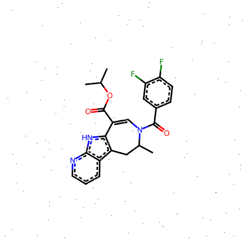 CC(C)OC(=O)C1=CN(C(=O)c2ccc(F)c(F)c2)C(C)Cc2c1[nH]c1ncccc21